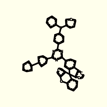 c1ccc(B(c2ccccc2)c2ccc(-c3nc(-c4ccc(-c5ccccc5)cc4)nc(-c4ccc5c(c4)C4(c6ccccc6Oc6ccccc64)c4ccccc4-5)n3)cc2)cc1